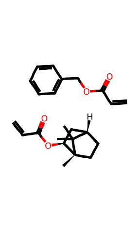 C=CC(=O)OCc1ccccc1.C=CC(=O)O[C@H]1C[C@@H]2CC[C@@]1(C)C2(C)C